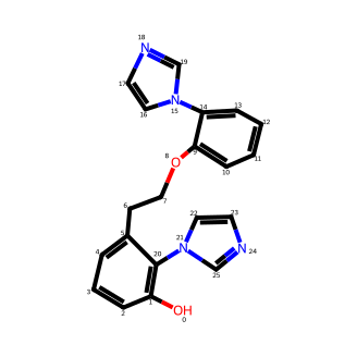 Oc1cccc(CCOc2ccccc2-n2ccnc2)c1-n1ccnc1